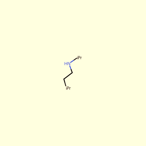 CC(C)CCNC(C)C